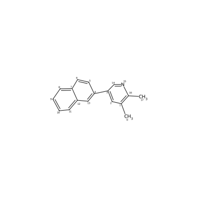 Cc1cc(-c2ccc3ccccc3c2)cnc1C